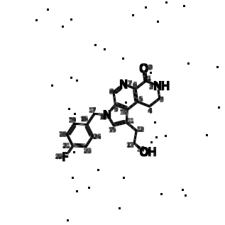 O=C1NCCc2c1ncc1c2c(CCO)cn1Cc1ccc(F)cc1